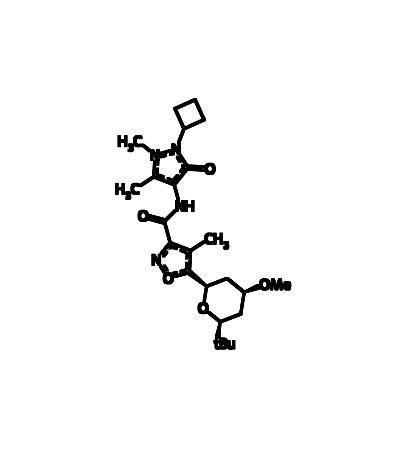 CO[C@H]1C[C@@H](C(C)(C)C)O[C@@H](c2onc(C(=O)Nc3c(C)n(C)n(C4CCC4)c3=O)c2C)C1